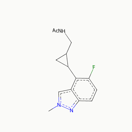 CC(=O)NCC1CC1c1c(F)ccc2nn(C)cc12